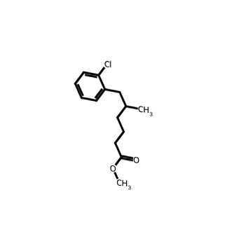 COC(=O)CCCC(C)Cc1ccccc1Cl